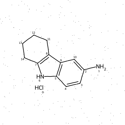 Cl.Nc1ccc2[nH]c3c(c2c1)CCCC3